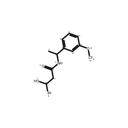 CC(NC(=O)CC(O)C(C)C)c1cccc(OC(F)(F)F)c1